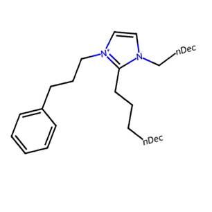 CCCCCCCCCCCCCc1n(CCCCCCCCCCC)cc[n+]1CCCc1ccccc1